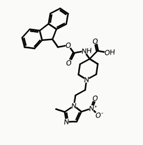 Cc1ncc([N+](=O)[O-])n1CCN1CCC(NC(=O)OCC2c3ccccc3-c3ccccc32)(C(=O)O)CC1